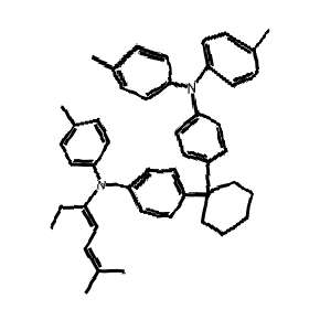 CC/C(=C\C=C(C)C)N(c1ccc(C)cc1)c1ccc(C2(c3ccc(N(c4ccc(C)cc4)c4ccc(C)cc4)cc3)CCCCC2)cc1